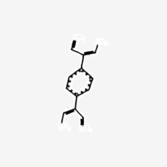 C=C/C(=C\C)c1ccc(/C(C=C)=C/C)cc1